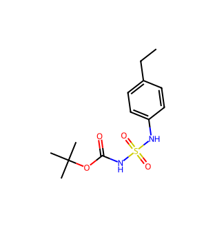 CCc1ccc(NS(=O)(=O)NC(=O)OC(C)(C)C)cc1